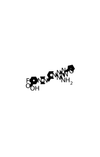 Nc1nc(N2CCCC(CN3CCN(c4ccc(F)c(C(=O)O)c4)CC3)C2)nc2nc(-c3ccco3)nn12